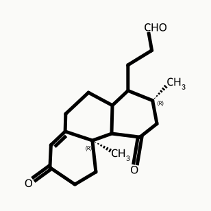 C[C@@H]1CC(=O)C2C(CCC3=CC(=O)CC[C@@]32C)C1CCC=O